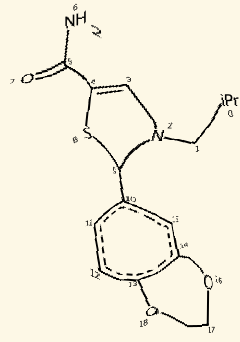 CC(C)CN1C=C(C(N)=O)SC1c1ccc2c(c1)OCO2